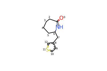 O=C1CCCCC(Cc2ccsc2)N1